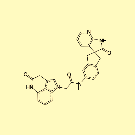 O=C(Cn1cc2c3c(cccc31)NC(=O)C2)Nc1ccc2c(c1)CC1(C2)C(=O)Nc2ncccc21